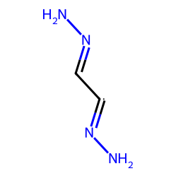 NN=[C]C=NN